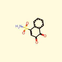 NS(=O)(=O)C1=CC(=O)C(=O)c2ccccc21